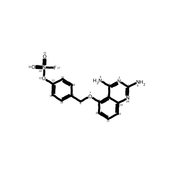 Nc1nc(N)c2c(OCc3ccc(OS(=O)(=O)F)cc3)cccc2n1